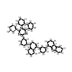 CC1C=CC=C(c2nc(-c3cccc(-c4ccc(-c5cccc(-c6cccc7c6sc6ccccc67)c5)c5ccccc45)c3)nc(-c3ccccc3-c3ccccc3)n2)C1